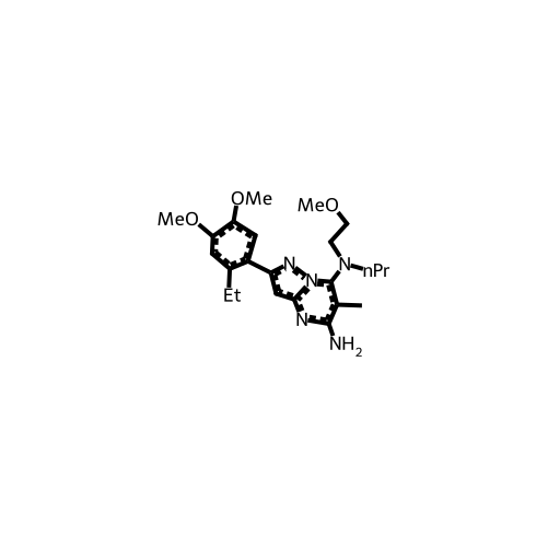 CCCN(CCOC)c1c(C)c(N)nc2cc(-c3cc(OC)c(OC)cc3CC)nn12